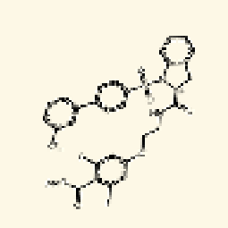 COC(=O)c1c(F)cc(OCCNC(=O)[C@@H]2Cc3ccccc3N2S(=O)(=O)c2ccc(-c3cccc(C(F)(F)F)c3)cc2)cc1F